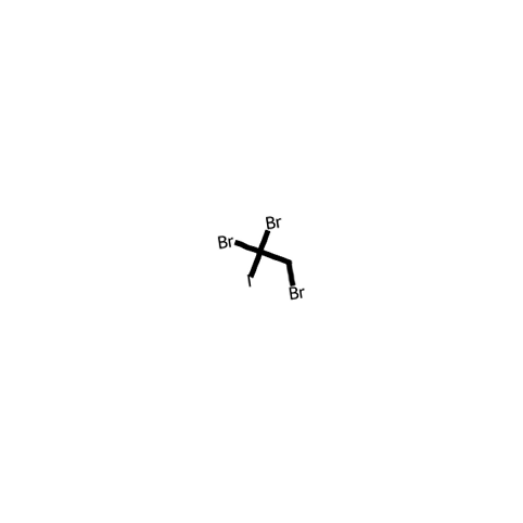 BrCC(Br)(Br)I